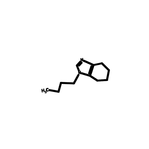 CCCCn1cnc2c1CCCC2